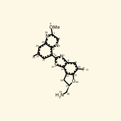 COc1cnc2c(-c3nc4cc(F)c5c(c4s3)C[C@H](CN)O5)cc(C)cc2n1